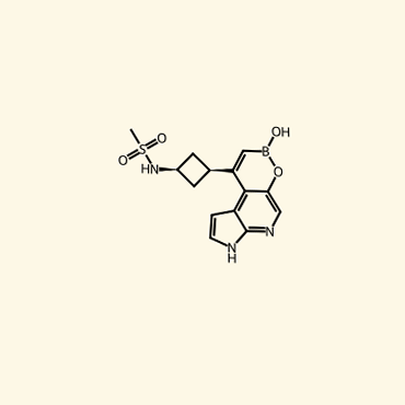 CS(=O)(=O)N[C@H]1C[C@@H](C2=CB(O)Oc3cnc4[nH]ccc4c32)C1